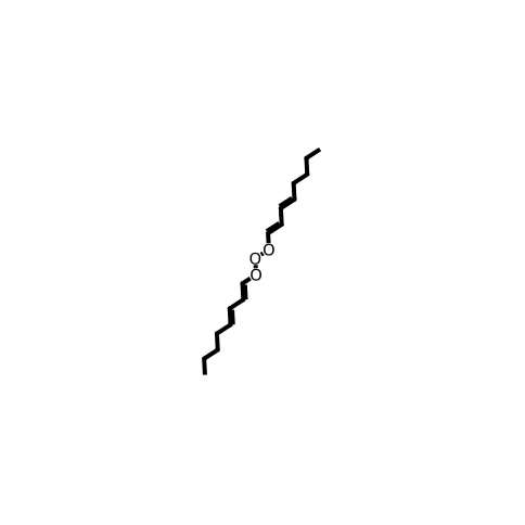 CCCC/C=C/C=C/OOO/C=C/C=C/CCCC